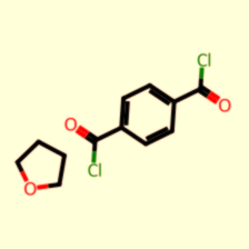 C1CCOC1.O=C(Cl)c1ccc(C(=O)Cl)cc1